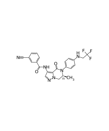 C[C@H]1Cn2ncc(NC(=O)c3cccc(C#N)c3)c2C(=O)N1c1ccc(NCC(F)(F)F)cc1